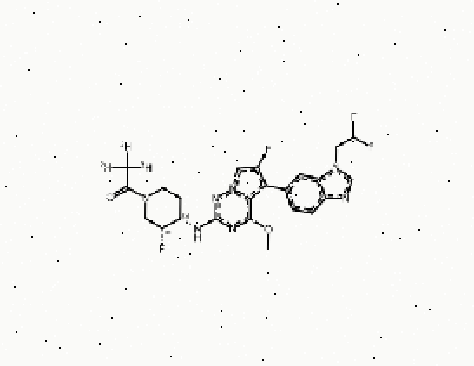 [2H]C([2H])([2H])C(=O)N1CC[C@H](Nc2nc(OC)c3c(-c4ccc5ncn(CC(F)F)c5c4)c(F)cn3n2)[C@H](F)C1